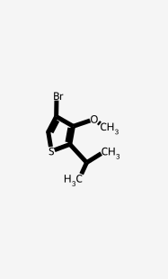 COc1c(Br)csc1C(C)C